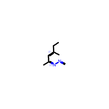 C=N/N=C(C)\C=C(/C)CC